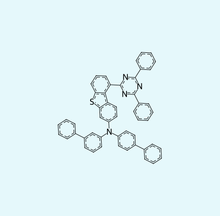 c1ccc(-c2ccc(N(c3cccc(-c4ccccc4)c3)c3ccc4c(c3)sc3cccc(-c5nc(-c6ccccc6)nc(-c6ccccc6)n5)c34)cc2)cc1